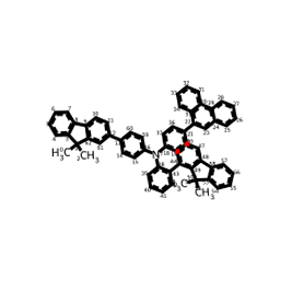 CC1(C)c2ccccc2-c2ccc(-c3ccc(N(c4ccc(-c5cc6ccccc6c6ccccc56)cc4)c4ccccc4-c4cccc5c4C(C)(C)c4ccccc4-5)cc3)cc21